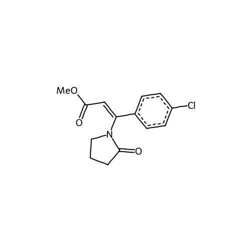 COC(=O)/C=C(/c1ccc(Cl)cc1)N1CCCC1=O